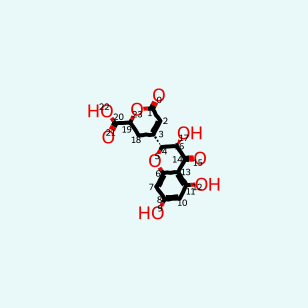 O=C1C=C([C@H]2Oc3cc(O)cc(O)c3C(=O)[C@@H]2O)CC(C(=O)O)O1